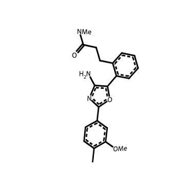 CNC(=O)CCc1ccccc1-c1oc(-c2ccc(C)c(OC)c2)nc1N